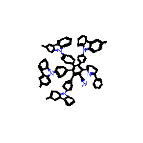 Cc1ccc2c(c1)c1ccccc1n2-c1ccc(-c2c(C#N)c(-c3cccc(-c4ccccc4)n3)c(-c3ccc(-n4c5ccccc5c5cc(C)ccc54)cc3)c(-c3ccc(-n4c5ccccc5c5cc(C)ccc54)cc3)c2-c2ccc(-n3c4ccccc4c4cc(C)ccc43)cc2)cc1